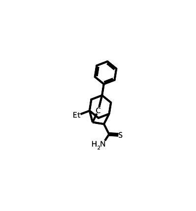 CCC12CC3CC(c4ccccc4)(CC1C3C(N)=S)C2